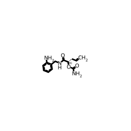 C=CC[C@H](OC(N)=O)C(=O)NCc1ccccc1N